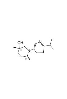 CC(C)c1ccc(N2C[C@@](C)(O)CC[C@@H]2C)cn1